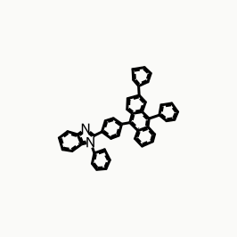 c1ccc(-c2ccc3c(-c4ccc(-c5nc6ccccc6n5-c5ccccc5)cc4)c4ccccc4c(-c4ccccc4)c3c2)cc1